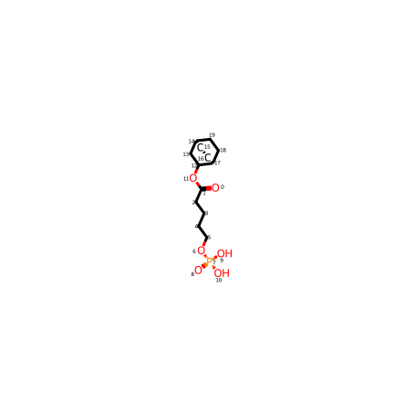 O=C(CCCCOP(=O)(O)O)OC1CC2CCC1CC2